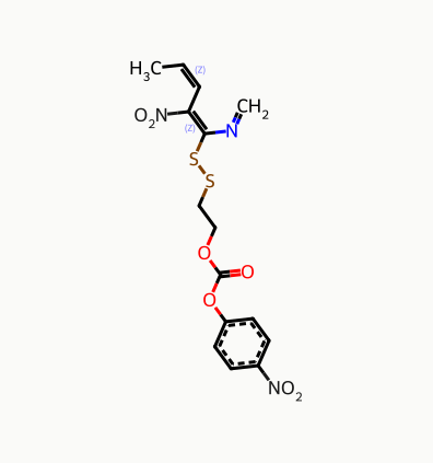 C=N/C(SSCCOC(=O)Oc1ccc([N+](=O)[O-])cc1)=C(\C=C/C)[N+](=O)[O-]